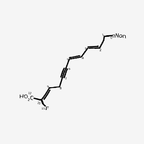 CCCCCCCCCC/C=C/C=C/C#CC/C=C(\F)C(=O)O